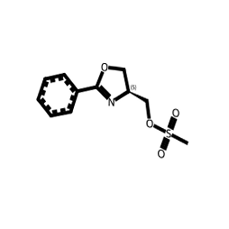 CS(=O)(=O)OC[C@@H]1COC(c2ccccc2)=N1